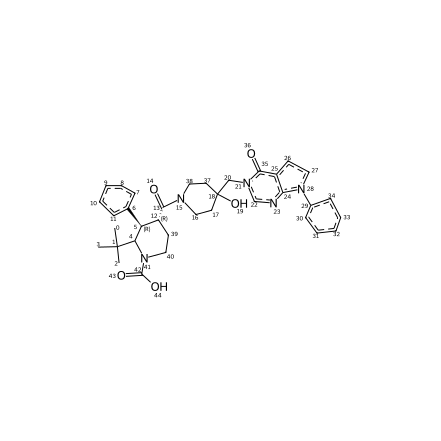 CC(C)(C)C1[C@@H](c2ccccc2)[C@H](C(=O)N2CCC(O)(Cn3cnc4c(ccn4-c4ccccc4)c3=O)CC2)CCN1C(=O)O